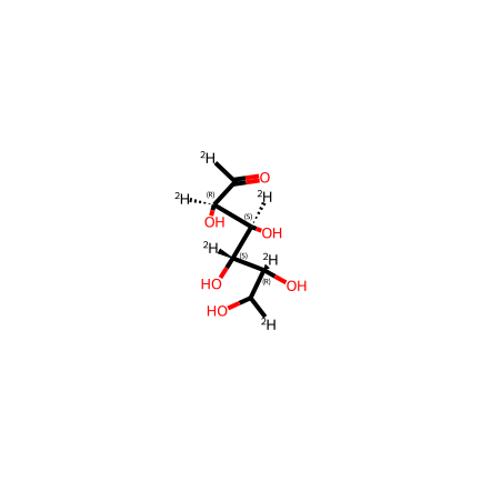 [2H]C(=O)[C@]([2H])(O)[C@@]([2H])(O)[C@@]([2H])(O)[C@]([2H])(O)C([2H])O